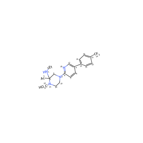 CCNC1(C(C)=O)CN(c2ccc(-c3ccc(C(F)(F)F)cc3)cn2)CCN1C(=O)O